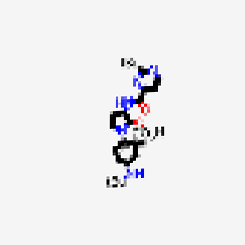 CC(C)(C)N[C@@H]1CC[C@H](N2CCC(NC(=O)c3ccnc(C(C)(C)C)n3)C2=O)[C@](C)(C(=O)O)C1